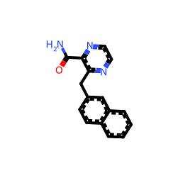 NC(=O)c1nccnc1Cc1ccc2ccccc2c1